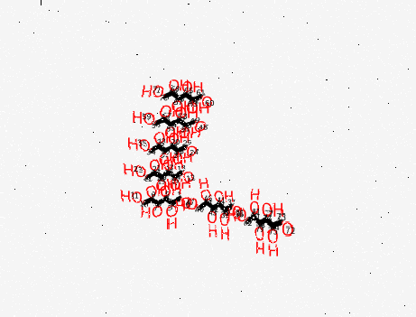 O=C[C@H](O)[C@@H](O)[C@H](O)[C@H](O)CO.O=C[C@H](O)[C@@H](O)[C@H](O)[C@H](O)CO.O=C[C@H](O)[C@@H](O)[C@H](O)[C@H](O)CO.O=C[C@H](O)[C@@H](O)[C@H](O)[C@H](O)CO.O=C[C@H](O)[C@@H](O)[C@H](O)[C@H](O)CO.O=C[C@H](O)[C@@H](O)[C@H](O)[C@H](O)CO.O=C[C@H](O)[C@@H](O)[C@H](O)[C@H](O)CO